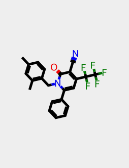 Cc1ccc(Cn2c(-c3ccccc3)cc(C(F)(F)C(F)(F)F)c(C#N)c2=O)c(C)c1